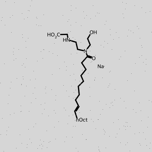 CCCCCCCCC=CCCCCCCCC(=O)N(CCO)CCNCC(=O)O.[Na]